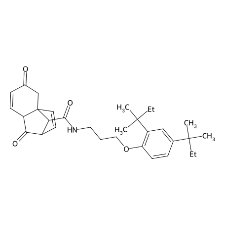 CCC(C)(C)c1ccc(OCCCNC(=O)C2C3C=CC24CC(=O)C=CC4C3=O)c(C(C)(C)CC)c1